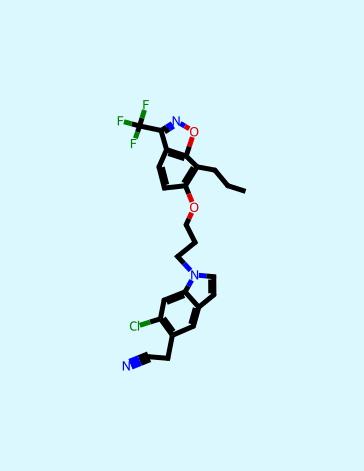 CCCc1c(OCCCn2ccc3cc(CC#N)c(Cl)cc32)ccc2c(C(F)(F)F)noc12